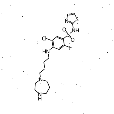 O=S(=O)(Nc1nccs1)c1cc(Cl)c(NCCCCN2CCCNCC2)cc1F